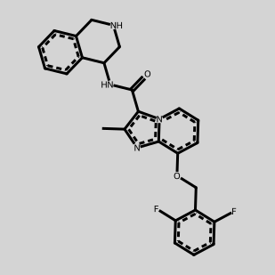 Cc1nc2c(OCc3c(F)cccc3F)cccn2c1C(=O)NC1CNCc2ccccc21